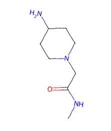 CNC(=O)CN1CCC(N)CC1